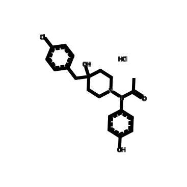 CC(=O)N(c1ccc(O)cc1)N1CCC(O)(Cc2ccc(Cl)cc2)CC1.Cl